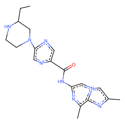 CCC1CN(c2cnc(C(=O)Nc3cn4cc(C)nc4c(C)n3)cn2)CCN1